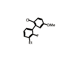 CCc1cccc(-c2cc(OC)ccc2Cl)c1F